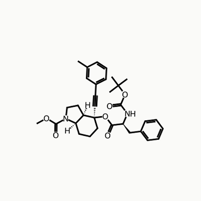 COC(=O)N1CC[C@@H]2[C@H]1CCC[C@]2(C#Cc1cccc(C)c1)OC(=O)[C@H](Cc1ccccc1)NC(=O)OC(C)(C)C